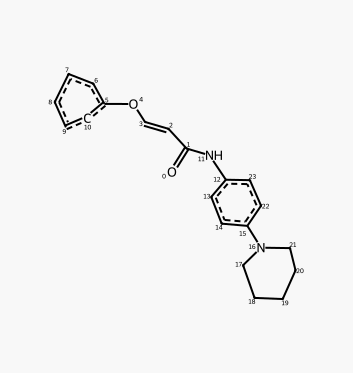 O=C(C=COc1ccccc1)Nc1ccc(N2CCCCC2)cc1